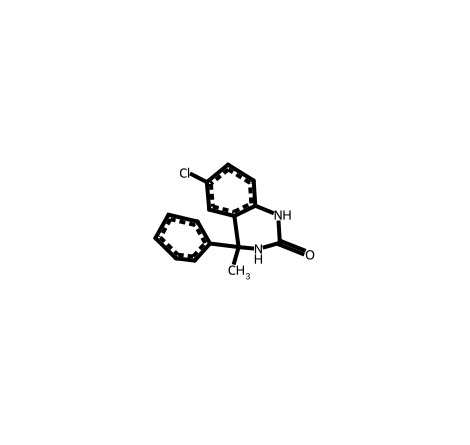 CC1(c2ccccc2)NC(=O)Nc2ccc(Cl)cc21